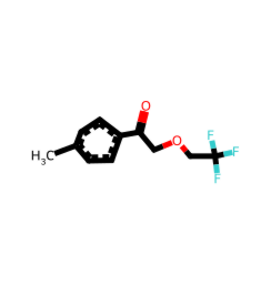 Cc1ccc(C(=O)COCC(F)(F)F)cc1